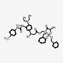 CCC(CC(=O)OCOC(=O)C(OP(=O)(OCc1ccccc1)OCc1ccccc1)C(C)C)c1ccc(N(CC(C)C)CC(C)C)c(NC(=O)Nc2ccc(C)cc2)c1